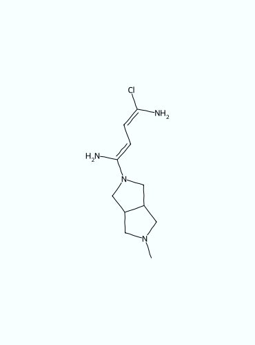 CN1CC2CN(/C(N)=C/C=C(\N)Cl)CC2C1